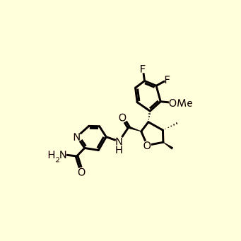 COc1c([C@@H]2[C@H](C)[C@@H](C)O[C@H]2C(=O)Nc2ccnc(C(N)=O)c2)ccc(F)c1F